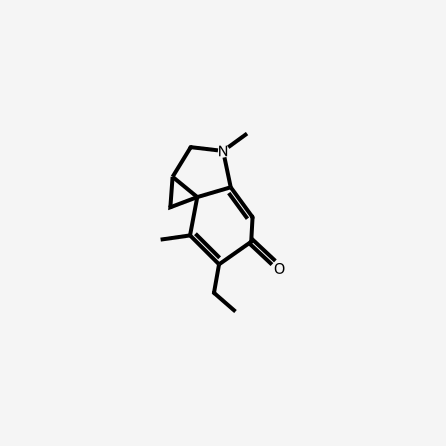 CCC1=C(C)C23CC2CN(C)C3=CC1=O